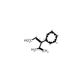 C=C(C)/C(=C\C(=O)O)c1ccccc1